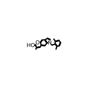 CC(=Cc1ccc2ccn(Cc3c(C)cccc3C)c2c1)C(=O)O